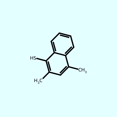 Cc1cc(C)c2ccccc2c1S